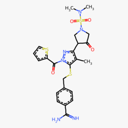 Cc1c(C2CN(S(=O)(=O)N(C)C)CC2=O)nn(C(=O)c2cccs2)c1SCc1ccc(C(=N)N)cc1